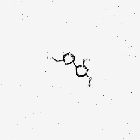 COc1cc(OC(F)(F)F)ccc1-c1cncc(CN)n1